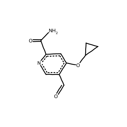 NC(=O)c1cc(OC2CC2)c(C=O)cn1